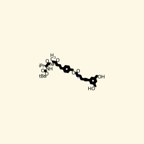 CC(C)[C@H](NC(=O)OC(C)(C)C)C(=O)N[C@@H](C)C(=O)CCCc1ccc(COC(=O)/C=C/CC#Cc2cc(CO)cc(CO)c2)cc1